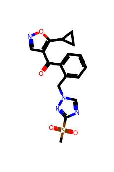 CS(=O)(=O)c1ncn(Cc2ccccc2C(=O)c2cnoc2C2CC2)n1